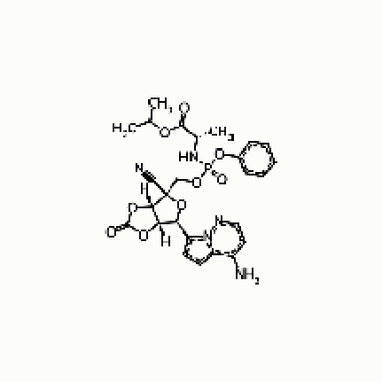 CC(C)OC(=O)[C@H](C)N[P@](=O)(OC[C@@]1(C#N)O[C@@H](c2ccc3c(N)ccnn23)[C@@H]2OC(=O)O[C@@H]21)Oc1ccccc1